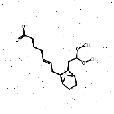 COC(CC1C2CCC(O2)C1CC=CCCCC(=O)O)OC